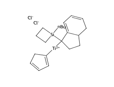 CCCC[Si]1([C]2([Ti+2][C]3=CC=CC3)CCC3CC=CC=C32)CCC1.[Cl-].[Cl-]